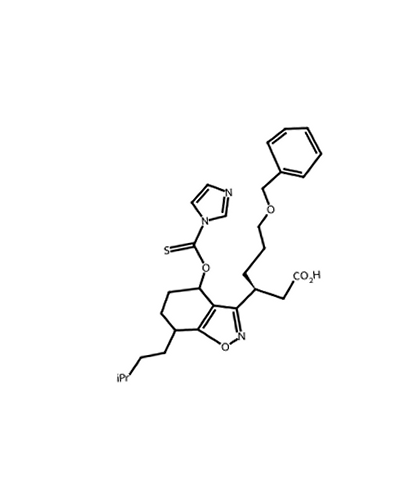 CC(C)CCC1CCC(OC(=S)n2ccnc2)c2c([C@@H](CCCOCc3ccccc3)CC(=O)O)noc21